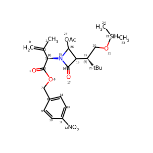 C=C(C)[C@H](C(=O)OCc1ccc([N+](=O)[O-])cc1)N1C(=O)C([C@@H](CO[SiH](C)C)C(C)(C)C)C1OC(C)=O